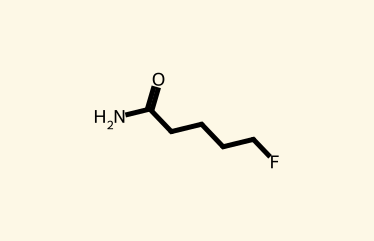 NC(=O)CCCCF